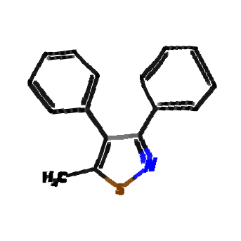 Cc1snc(-c2ccccc2)c1-c1ccccc1